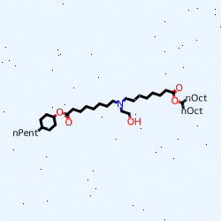 CCCCCCCCC(CCCCCCCC)OC(=O)CCCCCCCN(CCO)CCCCCCCC(=O)OC1CCC(CCCCC)CC1